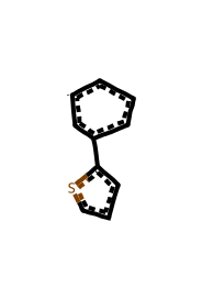 [c]1cccc(-c2cccs2)c1